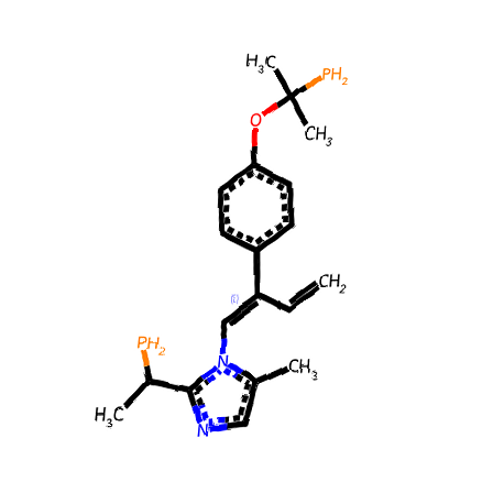 C=C/C(=C\n1c(C)cnc1C(C)P)c1ccc(OC(C)(C)P)cc1